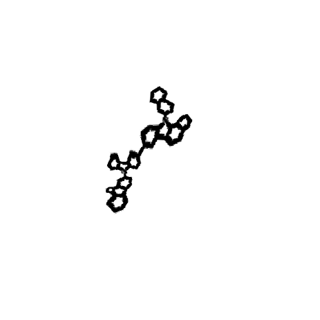 c1ccc2cc(-n3c4ccc(-c5ccc6c(c5)c5ccccc5n6-c5ccc6c(c5)oc5ccccc56)cc4c4ccc5ccccc5c43)ccc2c1